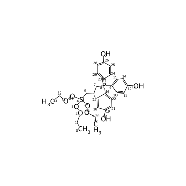 CCOO[Si](CCC[PH](c1ccc(O)cc1)(c1ccc(O)cc1)c1ccc(O)cc1)(OOCC)OOCC